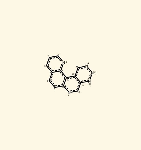 c1cnc2c(c1)ccc1ncc3nnncc3c12